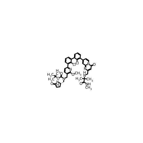 CNC(=O)C(C)(C)NCc1cc(=O)n2ccc(-c3cccc(-c4cccc(-c5ccc(CN(C[C@@H]6CCC(=O)N6)C(=O)OC(C)(C)C)c(OC)n5)c4Cl)c3Cl)cc2n1